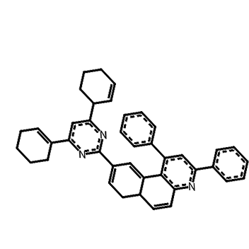 C1=CC(c2cc(C3=CCCCC3)nc(C3=CCC4C=Cc5nc(-c6ccccc6)cc(-c6ccccc6)c5C4=C3)n2)CCC1